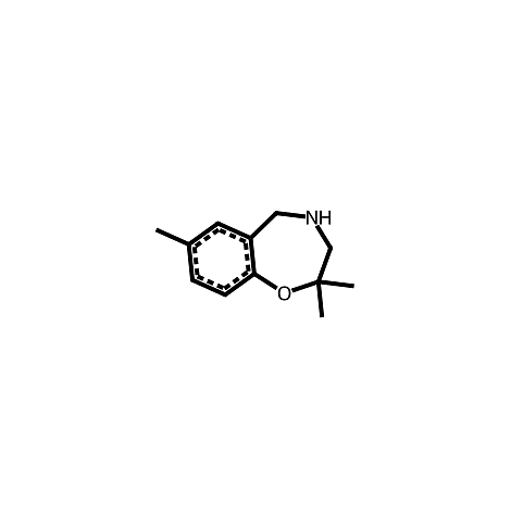 Cc1ccc2c(c1)CNCC(C)(C)O2